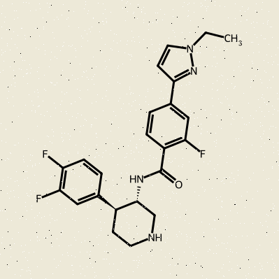 CCn1ccc(-c2ccc(C(=O)N[C@@H]3CNCC[C@H]3c3ccc(F)c(F)c3)c(F)c2)n1